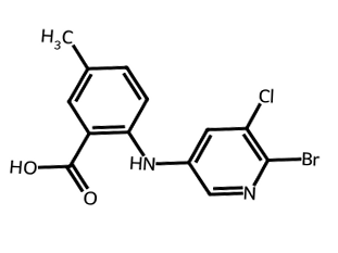 Cc1ccc(Nc2cnc(Br)c(Cl)c2)c(C(=O)O)c1